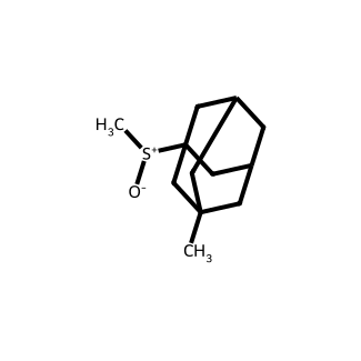 C[S+]([O-])C12CC3CC(CC(C)(C3)C1)C2